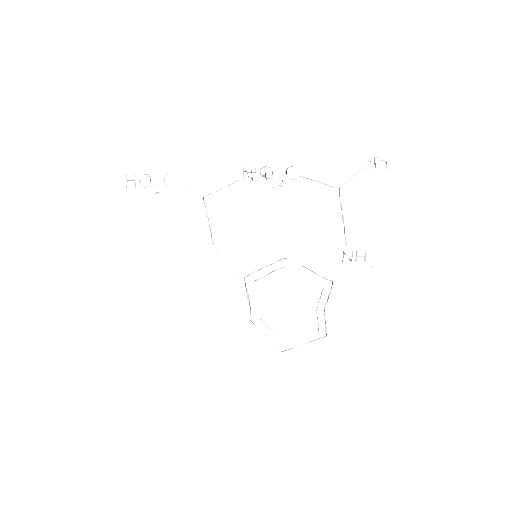 CC(C)C(N)C(=O)O.N[C@H](Cc1ccccc1)C(=O)O